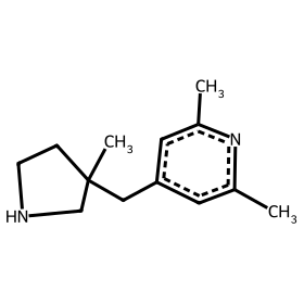 Cc1cc(CC2(C)CCNC2)cc(C)n1